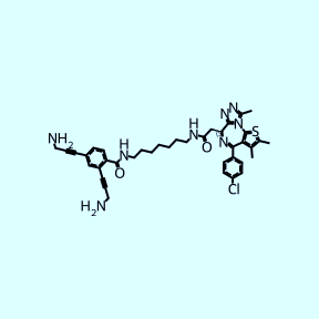 Cc1sc2c(c1C)C(c1ccc(Cl)cc1)=N[C@@H](CC(=O)NCCCCCCCNC(=O)c1ccc(C#CCN)cc1C#CCN)c1nnc(C)n1-2